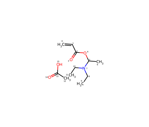 C=CC(=O)OC(C)N(CC)CC.CC(=O)O